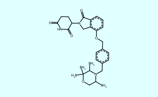 BC1COC(B)(B)C(B)N1Cc1ccc(COc2cccc3c2CN(C2CCC(=O)NC2=O)C3=O)cc1